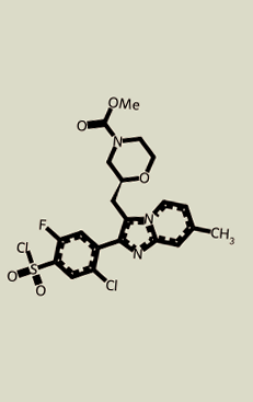 COC(=O)N1CCO[C@@H](Cc2c(-c3cc(F)c(S(=O)(=O)Cl)cc3Cl)nc3cc(C)ccn23)C1